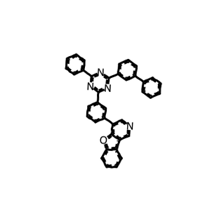 c1ccc(-c2cccc(-c3nc(-c4ccccc4)nc(-c4cccc(-c5cncc6c5oc5ccccc56)c4)n3)c2)cc1